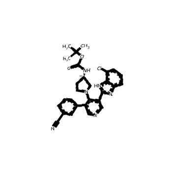 CC(C)(C)OC(=O)N[C@H]1CCN(c2c(-c3cccc(C#N)c3)cncc2-c2nc3cccc(Cl)c3[nH]2)C1